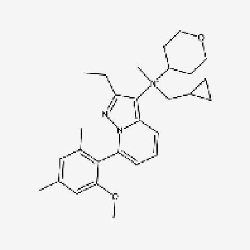 CCc1nn2c(-c3c(C)cc(C)cc3OC)cccc2c1[N+](C)(CC1CC1)C1CCOCC1